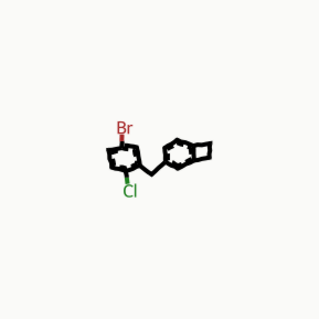 Clc1ccc(Br)cc1Cc1ccc2c(c1)CC2